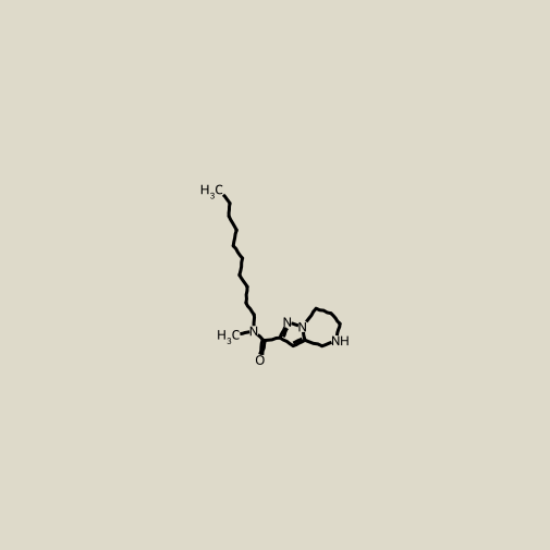 CCCCCCCCCCN(C)C(=O)c1cc2n(n1)CCCNC2